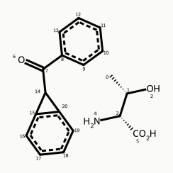 C[C@H](O)[C@@H](N)C(=O)O.O=C(c1ccccc1)C1c2ccccc21